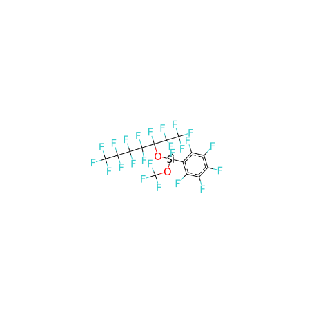 Fc1c(F)c(F)c([Si](F)(OC(F)(F)F)OC(F)(C(F)(F)C(F)(F)F)C(F)(F)C(F)(F)C(F)(F)C(F)(F)F)c(F)c1F